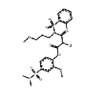 COCCCN1C(C(Cl)C(=O)Nc2ccc(S(=O)(=O)N(C)C)cc2OC)=Nc2ccccc2S1(=O)=O